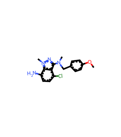 COc1ccc(CN(C)c2nn(C)c3c(N)ccc(Cl)c23)cc1